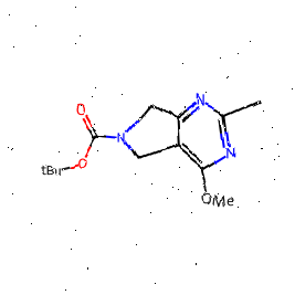 COc1nc(C)nc2c1CN(C(=O)OC(C)(C)C)C2